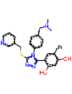 CC(C)c1cc(-c2nnc(SCc3cccnc3)n2-c2ccc(CN(C)C)cc2)c(O)cc1O